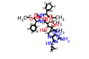 CCOC(=O)C(NP(=O)(NC(C(=O)OCC)c1ccccc1)OCC(OC)C(O)C1(O)C(C)C1/C=N\c1c(N)nc(N)nc1NC1CC1)C1=CCCC=C1